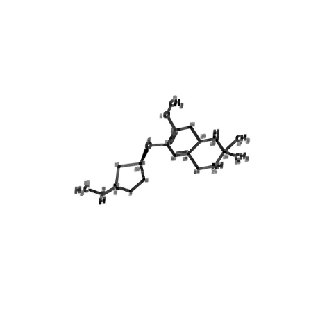 COC1=C(O[C@H]2CCN(PC)C2)C=C2CNC(C)(C)NC2C1